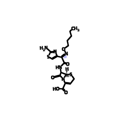 CCCCCO/N=C(/C(=O)NC1C(=O)N2C(C(=O)O)=CCS[C@H]12)c1csc(N)n1